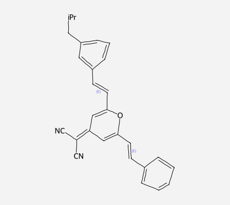 CC(C)Cc1cccc(/C=C/C2=CC(=C(C#N)C#N)C=C(/C=C/c3ccccc3)O2)c1